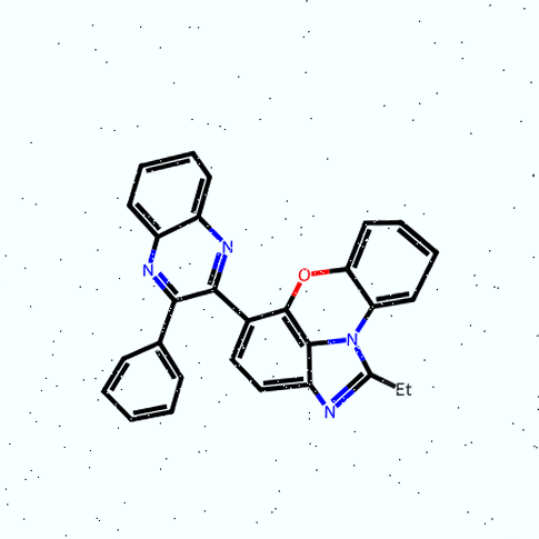 CCc1nc2ccc(-c3nc4ccccc4nc3-c3ccccc3)c3c2n1-c1ccccc1O3